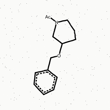 CC(=O)N1CCCC(OCc2ccccc2)C1